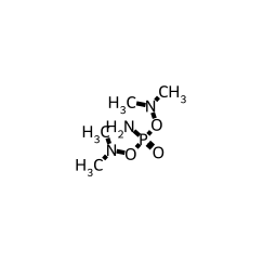 CN(C)OP(N)(=O)ON(C)C